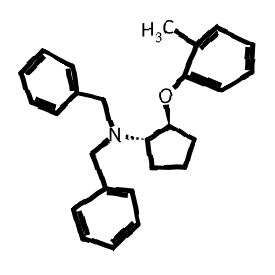 Cc1ccccc1O[C@H]1CCC[C@@H]1N(Cc1ccccc1)Cc1ccccc1